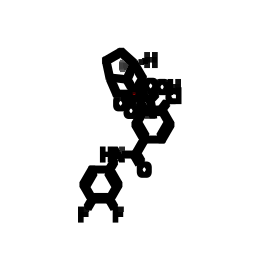 CC(O)[C@]1(O)CC2CC[C@@H](C1)C2S(=O)(=O)c1cc(C(=O)Nc2ccc(F)c(F)c2)ccc1Cl